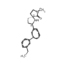 CCc1cccc(-c2cccc([C@H]3CC[C@@]4(CCN(C)C4=O)N3)c2)c1